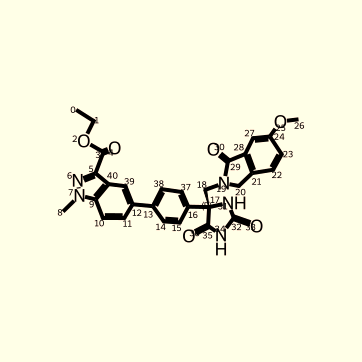 CCOC(=O)c1nn(C)c2ccc(-c3ccc([C@]4(CN5Cc6ccc(OC)cc6C5=O)NC(=O)NC4=O)cc3)cc12